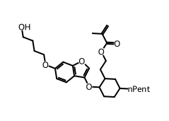 C=C(C)C(=O)OCCC1CC(CCCCC)CCC1Oc1coc2cc(OCCCCO)ccc12